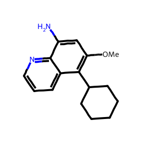 COc1cc(N)c2ncccc2c1C1CCCCC1